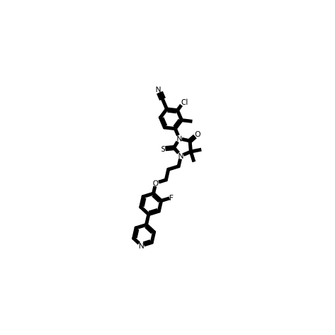 Cc1c(N2C(=O)C(C)(C)N(CCCOc3ccc(-c4ccncc4)cc3F)C2=S)ccc(C#N)c1Cl